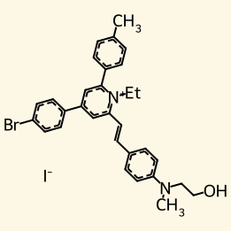 CC[n+]1c(/C=C/c2ccc(N(C)CCO)cc2)cc(-c2ccc(Br)cc2)cc1-c1ccc(C)cc1.[I-]